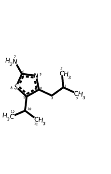 CC(C)Cc1nc(N)sc1C(C)C